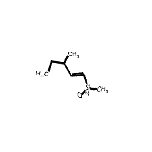 CCC(C)C=C[SiH](C)Cl